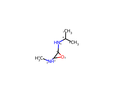 CNC1OC1NC(C)C